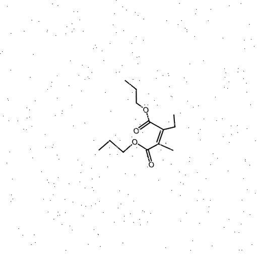 CCCOC(=O)C(C)=C(CC)C(=O)OCCC